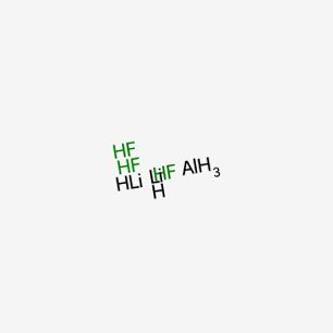 F.F.F.[AlH3].[LiH].[LiH]